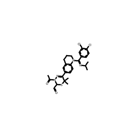 CC(=O)N1N=C(c2ccc3c(c2)CCCN3C(=NC(C)C)c2ccc(Cl)c(Cl)c2)C(C)(C)SC1C=O